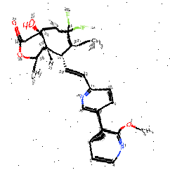 COc1ncccc1-c1ccc(/C=C/[C@@H]2[C@@H]3[C@@H](C)OC(=O)[C@]3(O)CC(F)(F)[C@H]2C)nc1